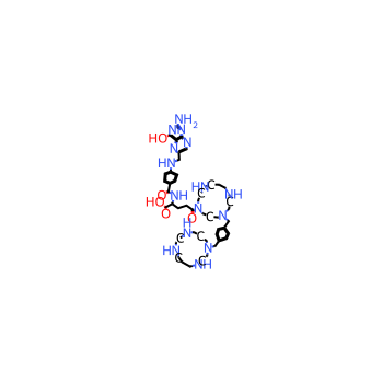 Nc1nc(O)c2nc(CNc3ccc(C(=O)NC(CCC(=O)N4CCCN(Cc5ccc(CN6CCCNCCNCCCNCC6)cc5)CCNCCCNCC4)C(=O)O)cc3)cnc2n1